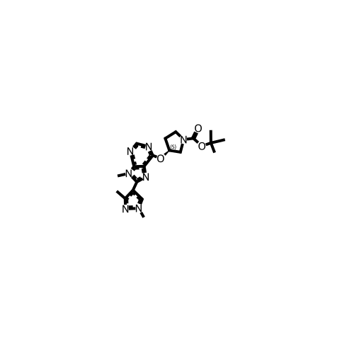 Cc1nn(C)cc1-c1nc2c(O[C@H]3CCN(C(=O)OC(C)(C)C)C3)ncnc2n1C